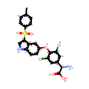 Cc1ccc(S(=O)(=O)c2c[nH]c3ccc(Oc4c(Cl)cc([C@@H](N)C(=O)O)cc4Cl)cc23)cc1